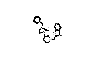 O=C1N(Cc2ccccc2)CCN1C1CCCN(CC2COc3ccccc3O2)C1